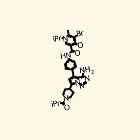 Cc1c(Br)c(=O)c(C(=O)Nc2ccc(-c3cc(C4CCN(C(=O)C(C)C)CC4)n4ncnc(N)c34)cc2)cn1C(C)C